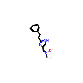 CC(C)(C)/[N+]([O-])=C/c1c[nH]c(CCc2ccccc2)n1